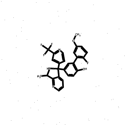 COc1ccc(F)c(-c2cc(C3(c4ccnc(C(F)(F)F)c4)NC(N)c4ncccc43)ccc2O)c1